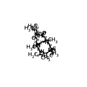 C=CC1=C(C)c2cc3[nH]c(cc4nc(cc5[nH]c(cc1n2)c(C)c5CCC(=O)NCCN(CC)CC)C(CCC(=O)O)=C4C)c(C)c3C=C